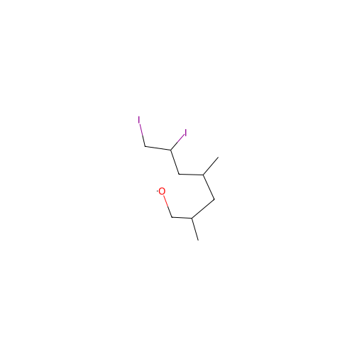 CC(C[O])CC(C)CC(I)CI